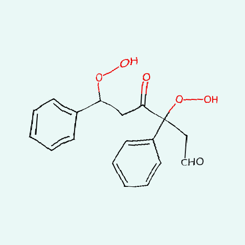 O=CCC(OO)(C(=O)CC(OO)c1ccccc1)c1ccccc1